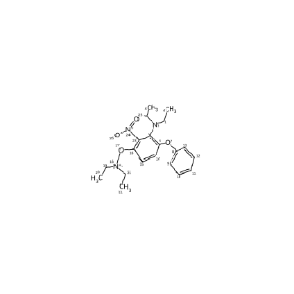 CCN(CC)c1c(Oc2ccccc2)ccc(O[N+](CC)CC)c1[N+](=O)[O-]